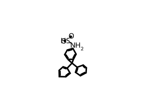 N[SH](=O)=O.c1ccc(C2(c3ccccc3)c3ccccc32)cc1